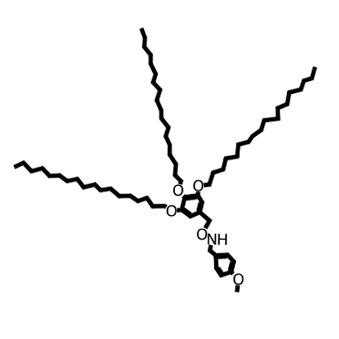 CCCCCCCCCCCCCCCCCCOc1cc(CONCc2ccc(OC)cc2)cc(OCCCCCCCCCCCCCCCCCC)c1OCCCCCCCCCCCCCCCCCC